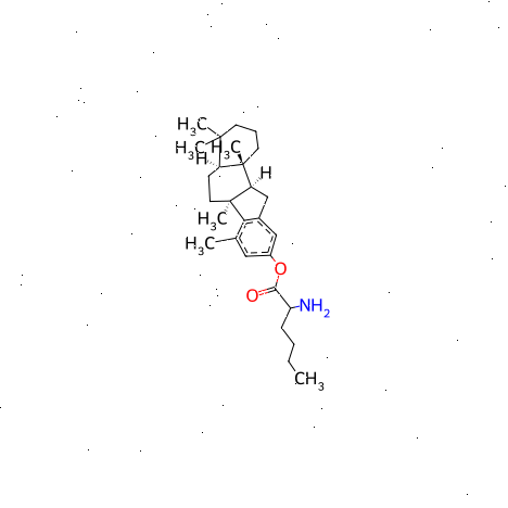 CCCCC(N)C(=O)Oc1cc(C)c2c(c1)C[C@@H]1[C@@]3(C)CCCC(C)(C)[C@@H]3CC[C@]21C